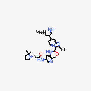 CCc1nc2cc(/C(C=N)=C/NC)ccn2c1C(=O)Nc1cc(NC(=O)CCN2CCCC2(C)C)cnc1C